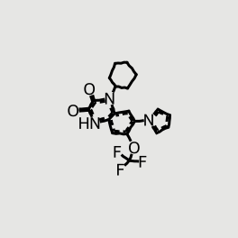 O=c1[nH]c2cc(OC(F)(F)F)c(-n3cccc3)cc2n(C2CCCCC2)c1=O